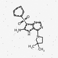 CC1(C)CCN(c2ncnc3c(S(=O)(=O)c4ccccc4)c(N)[nH]c23)C1